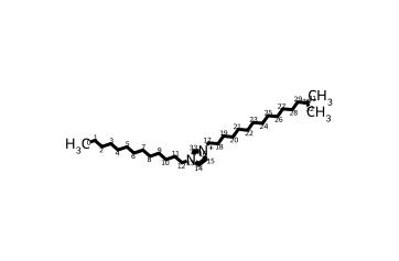 CCCCCCCCCCCCCn1cc[n+](CCCCCCCCCCCCCC(C)C)c1